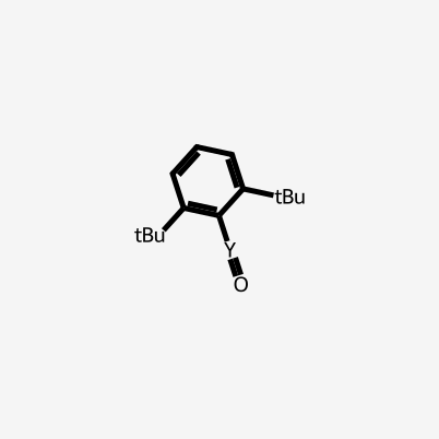 CC(C)(C)c1cccc(C(C)(C)C)[c]1[Y]=[O]